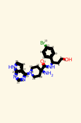 NC1(C(=O)NC(CCO)c2ccc(Br)cc2)CCN(c2ncnc3[nH]ccc23)CC1